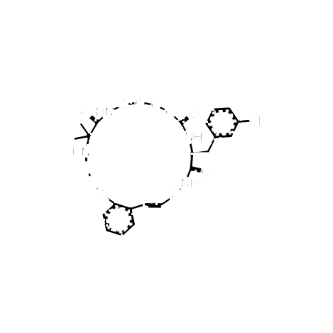 CC1(C)NCCOc2ccccc2/C=C/CNC(=O)[C@H](Cc2cccc(Cl)c2)NC(=O)CCCCNC1=O